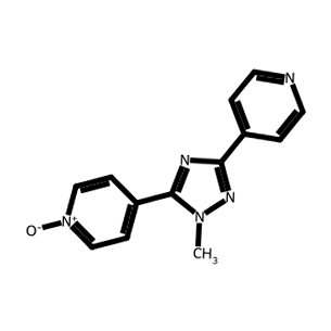 Cn1nc(-c2ccncc2)nc1-c1cc[n+]([O-])cc1